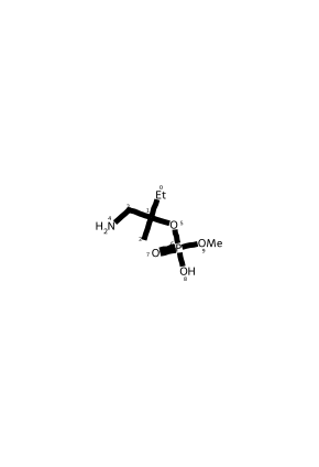 CCC(C)(CN)OP(=O)(O)OC